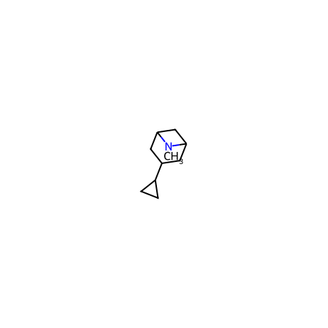 CN1C2CC(C3CC3)CC1C2